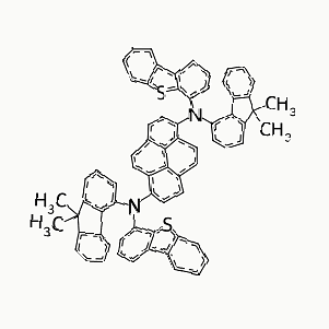 CC1(C)c2ccccc2-c2c(N(c3ccc4ccc5c(N(c6cccc7c6-c6ccccc6C7(C)C)c6cccc7c6sc6ccccc67)ccc6ccc3c4c65)c3cccc4c3sc3ccccc34)cccc21